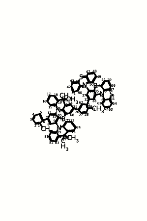 Cc1ccccc1-c1cc2c3c(c1)N1c4ccccc4C(C)(C)c4cc(-c5ccc(C)c(-c6cc7c8c(c6)N6c9ccccc9Sc9cccc(c96)B8c6cccc8c6N7c6ccccc6S8)c5)cc(c41)B3c1cccc3c1N2c1ccccc1C3(C)C